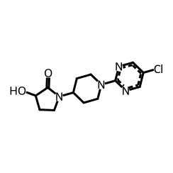 O=C1C(O)CCN1C1CCN(c2ncc(Cl)cn2)CC1